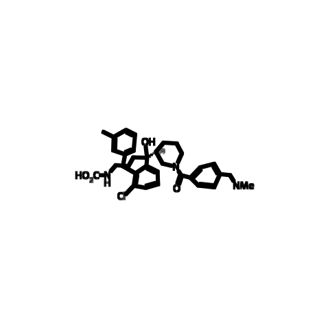 CNCc1ccc(C(=O)N2CCC[C@@H](C(O)(CCCNC(=O)O)c3cccc(Cl)c3Cc3cccc(C)c3)C2)cc1